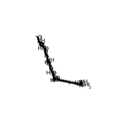 CC(=O)CNCc1ccc(CNC(=O)COCCOCCNC(=O)COCCOCCNC(=O)CCCS(=O)(=O)NC(=O)CCCCCCCCCCCCCCC/C(=N/N)NN)cc1